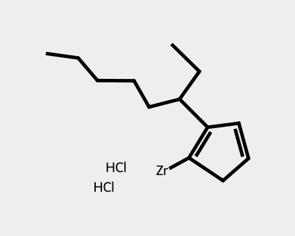 CCCCCC(CC)C1=[C]([Zr])CC=C1.Cl.Cl